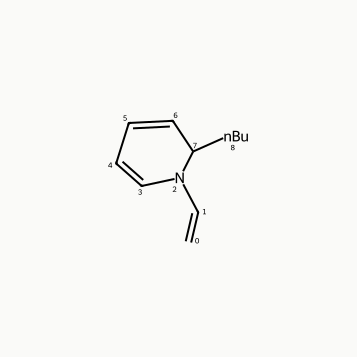 C=CN1C=CC=CC1CCCC